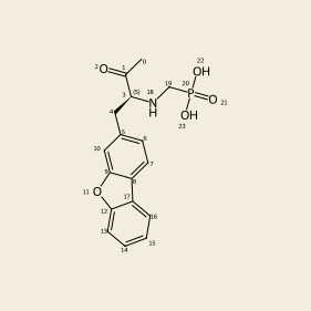 CC(=O)[C@H](Cc1ccc2c(c1)oc1ccccc12)NCP(=O)(O)O